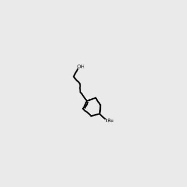 CC(C)(C)C1CC=C(CCCO)CC1